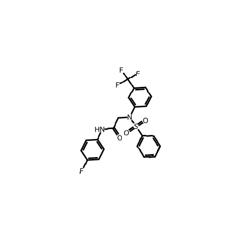 O=C(CN(c1cccc(C(F)(F)F)c1)S(=O)(=O)c1ccccc1)Nc1ccc(F)cc1